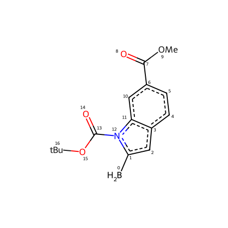 Bc1cc2ccc(C(=O)OC)cc2n1C(=O)OC(C)(C)C